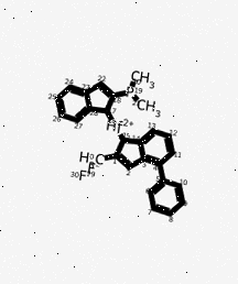 CC1=Cc2c(-c3ccccc3)cccc2[CH]1[Hf+2][CH]1C(P(C)C)=Cc2ccccc21.[F-].[F-]